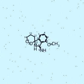 COc1cccc2c1C(=N)NC21CCCOO1